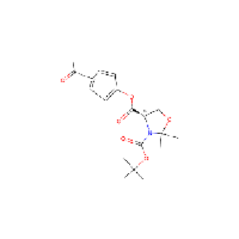 CC(=O)c1ccc(OC(=O)[C@H]2COC(C)(C)N2C(=O)OC(C)(C)C)cc1